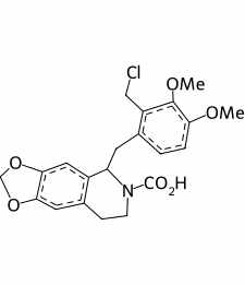 COc1ccc(CC2c3cc4c(cc3CCN2C(=O)O)OCO4)c(CCl)c1OC